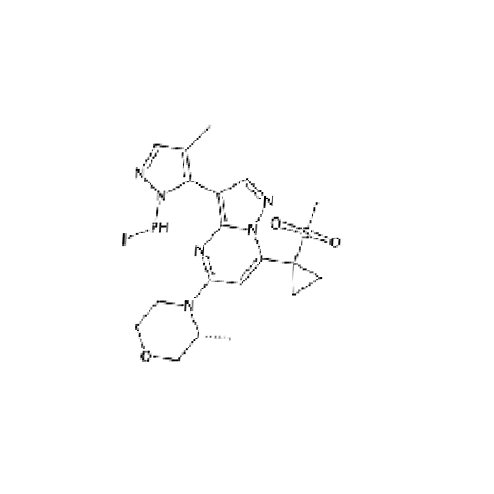 Cc1cnn(PI)c1-c1cnn2c(C3(S(C)(=O)=O)CC3)cc(N3CCOC[C@H]3C)nc12